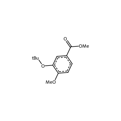 COC(=O)c1ccc(OC)c(OC(C)(C)C)c1